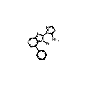 CCn1c(-n2ncnc2N)nc2cncc(-c3ccccc3)c21